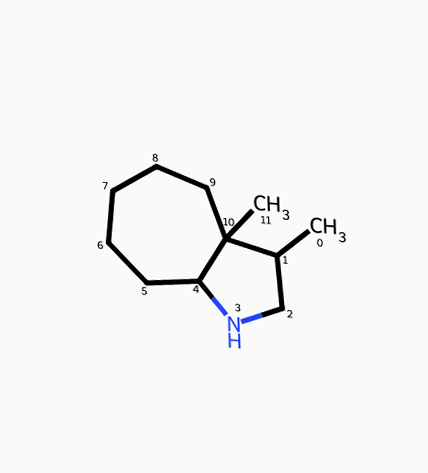 CC1CNC2CCCCCC12C